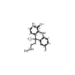 CCNCCC1(C(F)(F)F)c2cc(F)ccc2Nc2c1cc[nH]c2=O